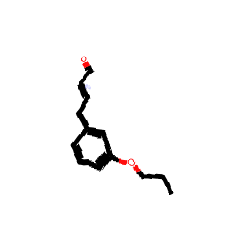 CCCOc1cccc(C/C=C/[C]=O)c1